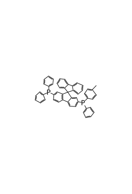 Cc1ccc(P(c2ccccc2)c2ccc3c(c2)C2(c4ccccc4-c4ccccc42)c2cc(P(c4ccccc4)c4ccccc4)ccc2-3)cc1